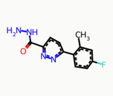 Cc1cc(F)ccc1-c1ccc(C(=O)NN)nn1